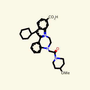 COC1CCN(C(=O)CN2CCn3c(c(C4CCCCC4)c4ccc(C(=O)O)cc43)-c3ccccc32)CC1